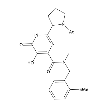 CSc1ccccc1CN(C)C(=O)c1nc(C2CCCN2C(C)=O)[nH]c(=O)c1O